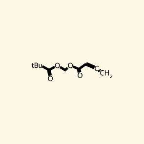 C=C=CC(=O)OCOC(=O)C(C)(C)C